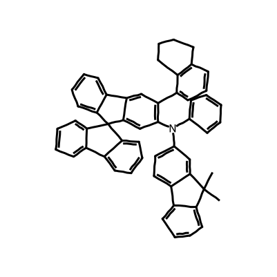 CC1(C)c2ccccc2-c2ccc(N(c3ccccc3)c3cc4c(cc3-c3cccc5c3CCCC5)-c3ccccc3C43c4ccccc4-c4ccccc43)cc21